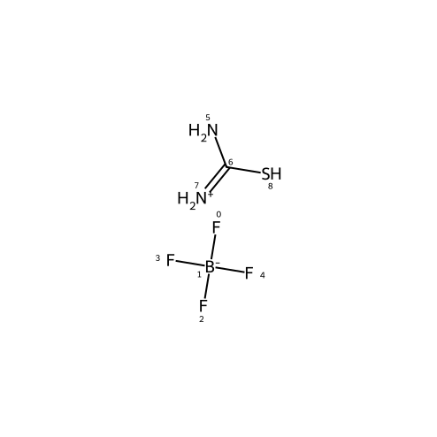 F[B-](F)(F)F.NC(=[NH2+])S